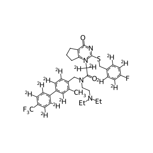 [2H]c1c([2H])c(CSc2nc(=O)c3c(n2C([2H])([2H])C(=O)N(CCN(CC)CC)Cc2c([2H])c([2H])c(-c4c([2H])c([2H])c(C(F)(F)F)c([2H])c4[2H])c([2H])c2C)CCC3)c([2H])c([2H])c1F